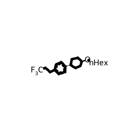 CCCCCCO[C@H]1CC[C@H](c2ccc(CCC(F)(F)F)cc2)CC1